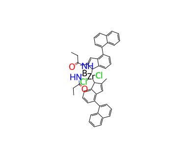 CCC(=O)N[B](NC(=O)CC)[Zr]([Cl])([Cl])([CH]1C(C)=Cc2c(-c3cccc4ccccc34)cccc21)[CH]1C(C)=Cc2c(-c3cccc4ccccc34)cccc21